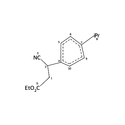 CCOC(=O)CC(C#N)c1ccc(C(C)C)cc1